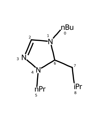 CCCCN1C=NN(CCC)C1CC(C)C